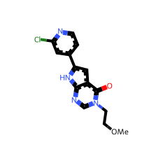 COCCn1cnc2[nH]c(-c3ccnc(Cl)c3)cc2c1=O